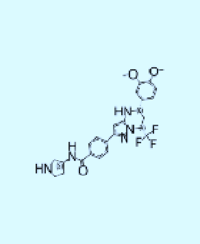 COc1ccc([C@@H]2C[C@H](C(F)(F)F)n3nc(-c4ccc(C(=O)N[C@H]5CCNC5)cc4)cc3N2)cc1OC